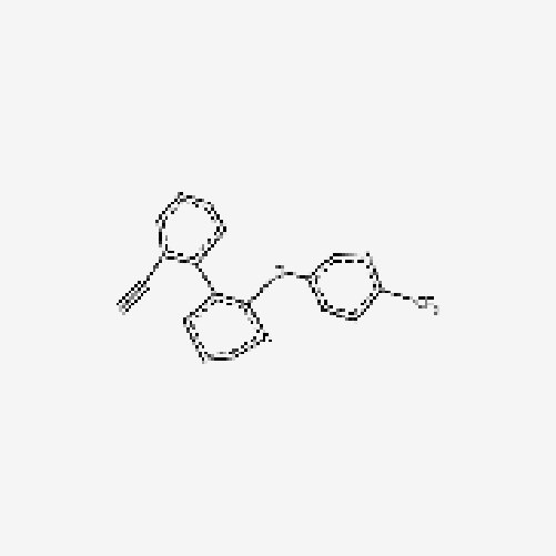 C#Cc1ccccc1-c1cccnc1Oc1ccc(C(F)(F)F)nc1